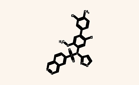 COc1cc(-c2ccc(C)c(Cl)c2)c(Cl)cc1N(c1ccon1)S(=O)(=O)c1ccc2cnncc2c1